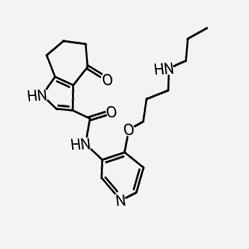 CCCNCCCOc1ccncc1NC(=O)c1c[nH]c2c1C(=O)CCC2